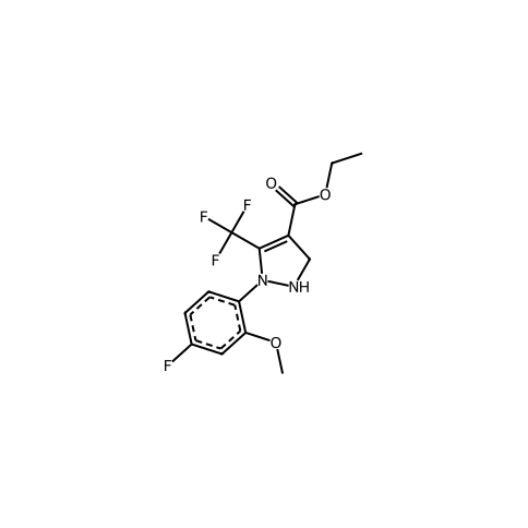 CCOC(=O)C1=C(C(F)(F)F)N(c2ccc(F)cc2OC)NC1